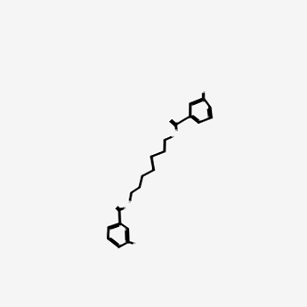 O=C(OCCCCCCCOC(=O)c1cccc(Cl)c1)c1cccc(Cl)c1